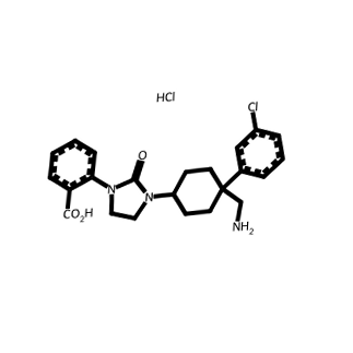 Cl.NCC1(c2cccc(Cl)c2)CCC(N2CCN(c3ccccc3C(=O)O)C2=O)CC1